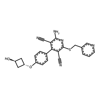 N#Cc1c(N)nc(SCc2cccnc2)c(C#N)c1-c1ccc(O[C@H]2C[C@H](O)C2)cc1